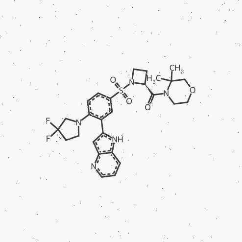 CC1(C)COCCN1C(=O)[C@@H]1CCN1S(=O)(=O)c1ccc(N2CCC(F)(F)C2)c(-c2cc3ncccc3[nH]2)c1